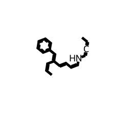 CC=C=CN\C=C/C=C/C(/C=C\C)=C/c1ccccc1